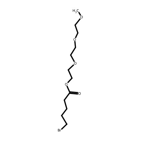 COCCOCCOCCOC(=O)CCCCBr